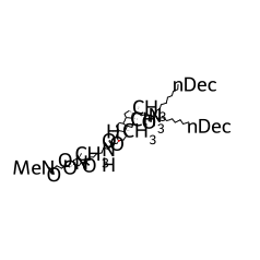 CCCCCCCCCCCCCCCCCCN(CCCCCCCCCCCCCCCCCC)C(=O)CC[C@@H](C)[C@H]1CCC2C3CC[C@@H]4C[C@H](OC(=O)NCCCCCC(=O)N5C[C@H](OC(=O)CCC(=O)NC)C[C@H]5C)CC[C@]4(C)C3CC[C@@]21C